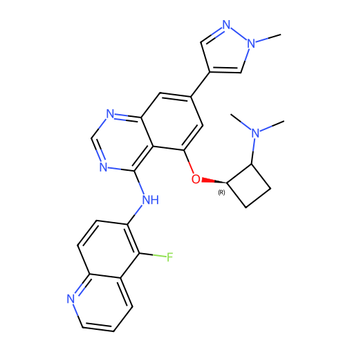 CN(C)C1CC[C@H]1Oc1cc(-c2cnn(C)c2)cc2ncnc(Nc3ccc4ncccc4c3F)c12